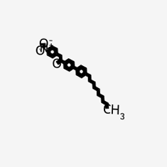 CCCCCCCCCCc1ccc(-c2ccc(C(=O)Cc3ccc([N+](=O)[O-])cc3)cc2)cc1